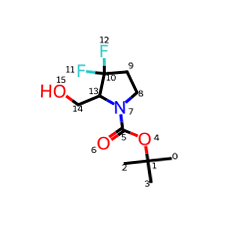 CC(C)(C)OC(=O)N1CCC(F)(F)C1CO